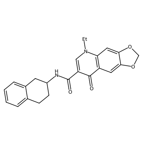 CCn1cc(C(=O)NC2CCc3ccccc3C2)c(=O)c2cc3c(cc21)OCO3